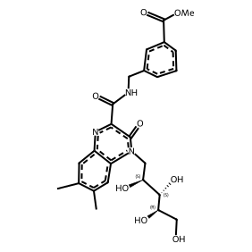 COC(=O)c1cccc(CNC(=O)c2nc3cc(C)c(C)cc3n(C[C@H](O)[C@H](O)[C@H](O)CO)c2=O)c1